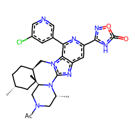 CC(=O)N1C[C@@H](C)N(c2nc3cc(-c4noc(=O)[nH]4)nc(-c4cncc(Cl)c4)c3n2C[C@H]2CC[C@H](C)CC2)[C@H](C)C1